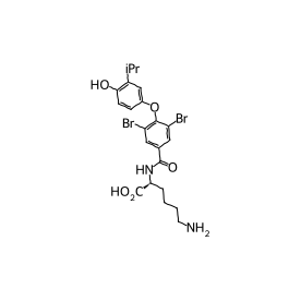 CC(C)c1cc(Oc2c(Br)cc(C(=O)N[C@@H](CCCCN)C(=O)O)cc2Br)ccc1O